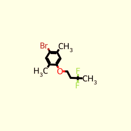 Cc1cc(OCCC(C)(F)F)c(C)cc1Br